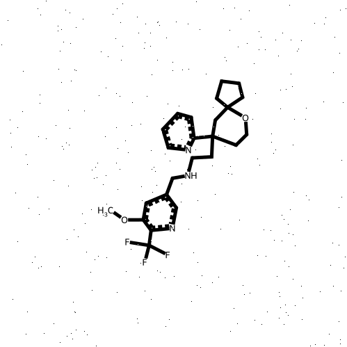 COc1cc(CNCCC2(c3ccccn3)CCOC3(CCCC3)C2)cnc1C(F)(F)F